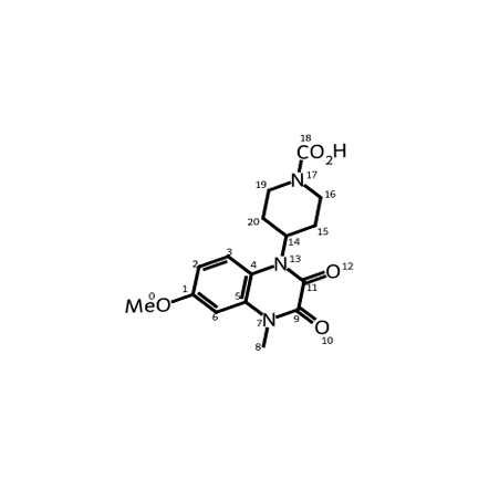 COc1ccc2c(c1)n(C)c(=O)c(=O)n2C1CCN(C(=O)O)CC1